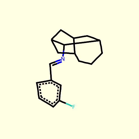 Fc1cccc(/C=N/C2C3CCCC4CC2CC4C3)c1